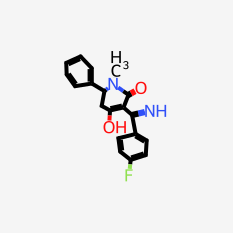 CN1C(=O)C(C(=N)c2ccc(F)cc2)=C(O)CC1c1ccccc1